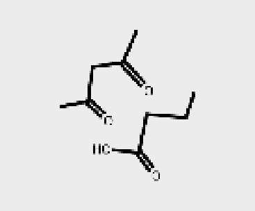 CC(=O)CC(C)=O.CCCC(=O)O